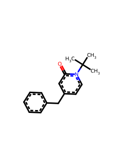 CC(C)(C)n1ccc(Cc2ccccc2)cc1=O